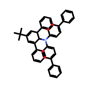 CC(C)(C)C1=CC(c2ccccc2)C(N(c2ccc(-c3ccccc3)cc2)c2ccc(-c3ccccc3)cc2)C(c2ccccc2)=C1